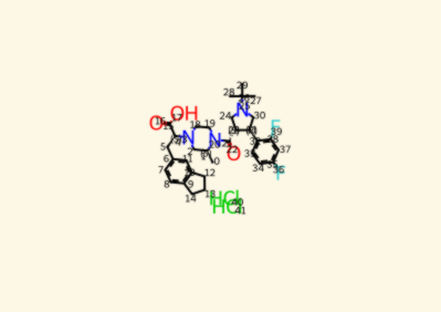 C[C@H]1CN([C@@H](Cc2ccc3c(c2)CCC3)C(=O)O)CCN1C(=O)[C@@H]1CN(C(C)(C)C)C[C@H]1c1ccc(F)cc1F.Cl.Cl